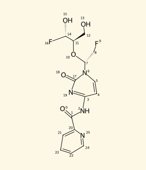 O=C(Nc1ccn([C@@H](CF)O[C@H](CO)[C@@H](O)F)c(=O)n1)c1ccccn1